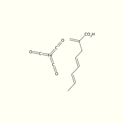 C=C(CC=CC=CC)C(=O)O.O=[C]=[Fe](=[C]=O)=[C]=O